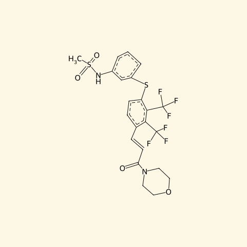 CS(=O)(=O)Nc1cccc(Sc2ccc(/C=C/C(=O)N3CCOCC3)c(C(F)(F)F)c2C(F)(F)F)c1